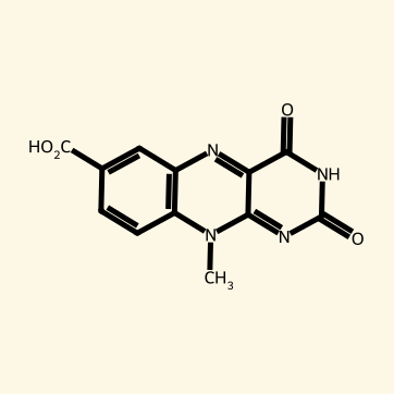 Cn1c2nc(=O)[nH]c(=O)c-2nc2cc(C(=O)O)ccc21